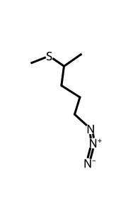 CSC(C)CCCN=[N+]=[N-]